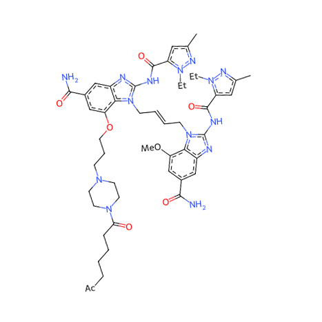 CCn1nc(C)cc1C(=O)Nc1nc2cc(C(N)=O)cc(OC)c2n1CC=CCn1c(NC(=O)c2cc(C)nn2CC)nc2cc(C(N)=O)cc(OCCCN3CCN(C(=O)CCCCC(C)=O)CC3)c21